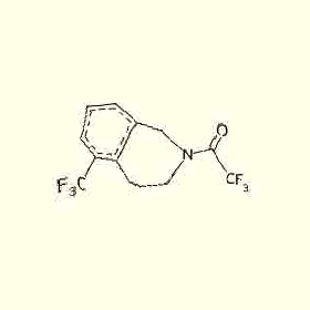 O=C(N1CCc2c(cccc2C(F)(F)F)C1)C(F)(F)F